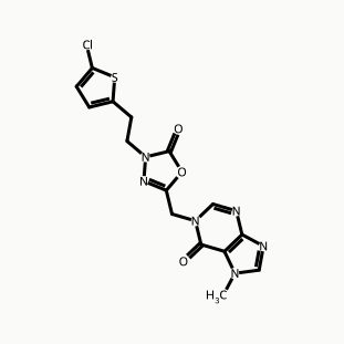 Cn1cnc2ncn(Cc3nn(CCc4ccc(Cl)s4)c(=O)o3)c(=O)c21